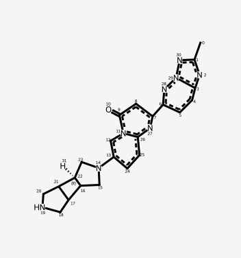 Cc1nc2ccc(-c3cc(=O)n4cc(N5CC6C7CNCC7[C@H]6C5)ccc4n3)nn2n1